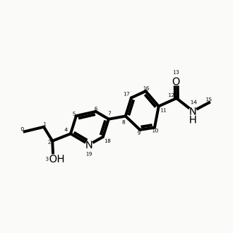 CCC(O)c1ccc(-c2ccc(C(=O)NC)cc2)cn1